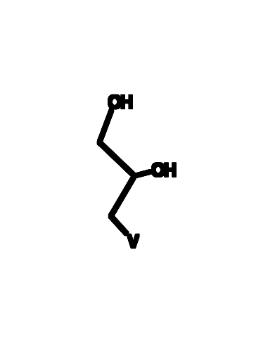 OCC(O)[CH2][V]